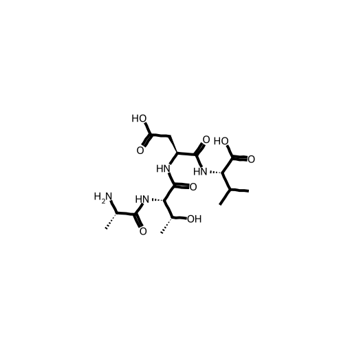 CC(C)[C@H](NC(=O)[C@H](CC(=O)O)NC(=O)[C@@H](NC(=O)[C@H](C)N)[C@@H](C)O)C(=O)O